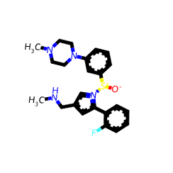 CNCc1cc(-c2ccccc2F)n([S+]([O-])c2cccc(N3CCN(C)CC3)c2)c1